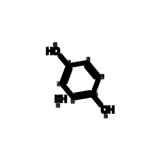 Oc1ccc(O)cc1.[KH]